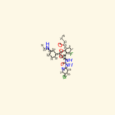 CCCC(=O)c1ccc(F)c([C@H]2C[C@H]2NC(=O)Nc2ccc(Br)cn2)c1OC(=O)c1cccc(NCC)c1